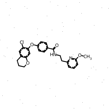 COc1cccc(CCNC(=O)c2ccc(Oc3cc4c(cc3Cl)CCCO4)cc2)n1